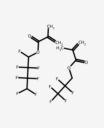 C=C(C)C(=O)OC(F)C(F)(F)C(F)(F)C(F)F.C=C(C)C(=O)OCC(F)(F)C(F)(F)F